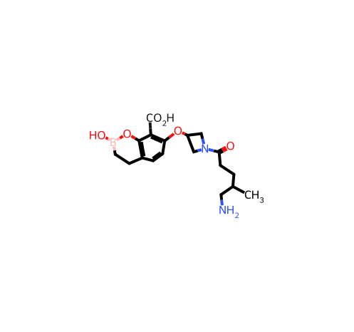 CC(CN)CCC(=O)N1CC(Oc2ccc3c(c2C(=O)O)OB(O)CC3)C1